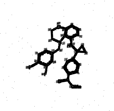 COC(=O)c1ccc(C2(Nc3nccc4c3N(Cc3ccc(F)c(F)c3)CCO4)CC2)cc1